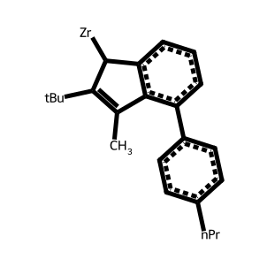 CCCc1ccc(-c2cccc3c2C(C)=C(C(C)(C)C)[CH]3[Zr])cc1